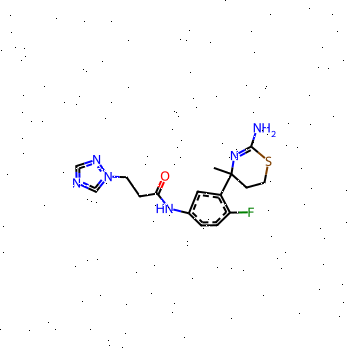 CC1(c2cc(NC(=O)CCn3cncn3)ccc2F)CCSC(N)=N1